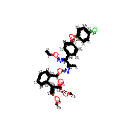 CCON=C(C(C)=NOCc1ccccc1C(=COC)C(=O)OC)c1ccc(Oc2ccc(Cl)cc2)cc1